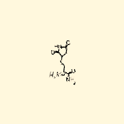 NC(=O)[C@H](N)CSC1CC(=O)NC1=O